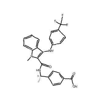 C[C@H](NC(=O)c1c(Nc2ccc(C(F)(F)F)cc2)c2ccccc2n1C)c1ccc(C(=O)O)cc1